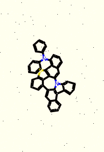 c1ccc(N(c2ccccc2)c2cccc3cc4c5c(sc6cccc(c7cc8ccccc8c8c9ccccc9n4c78)c65)c23)cc1